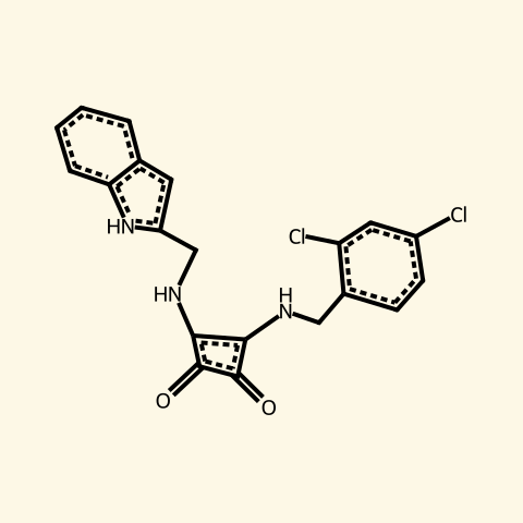 O=c1c(NCc2cc3ccccc3[nH]2)c(NCc2ccc(Cl)cc2Cl)c1=O